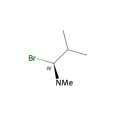 CN[C@@H](Br)C(C)C